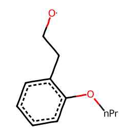 CCCOc1ccccc1CC[O]